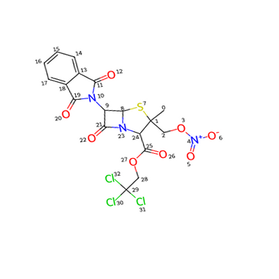 CC1(CO[N+](=O)[O-])SC2C(N3C(=O)c4ccccc4C3=O)C(=O)N2C1C(=O)OCC(Cl)(Cl)Cl